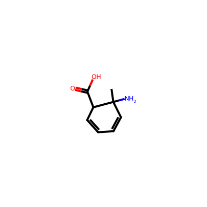 CC1(N)C=CC=CC1C(=O)O